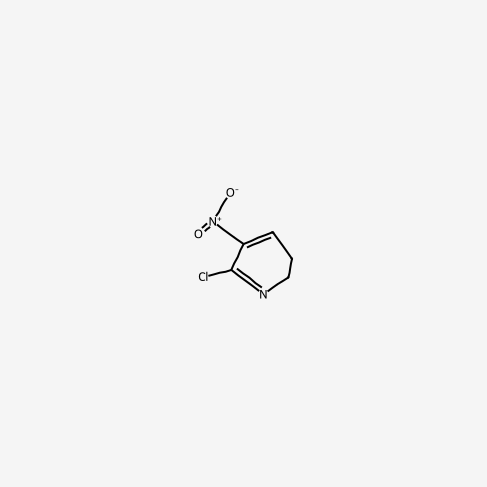 O=[N+]([O-])C1=CCCN=C1Cl